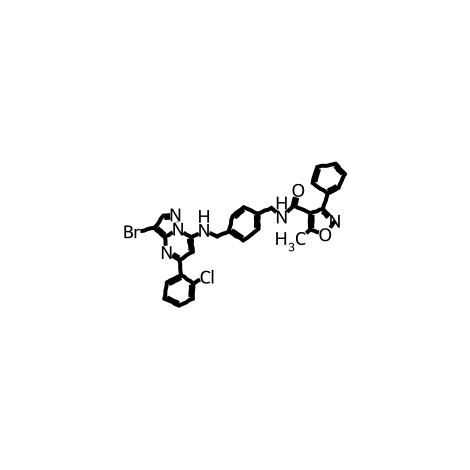 Cc1onc(-c2ccccc2)c1C(=O)NCc1ccc(CNc2cc(-c3ccccc3Cl)nc3c(Br)cnn23)cc1